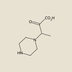 CC(C(=O)C(=O)O)N1CCNCC1